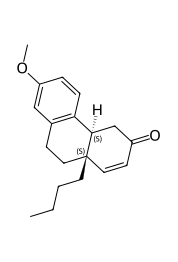 CCCC[C@]12C=CC(=O)C[C@@H]1c1ccc(OC)cc1CC2